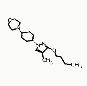 CCCCOc1nn([C@H]2CC[C@H](N3CCOCC3)CC2)cc1C